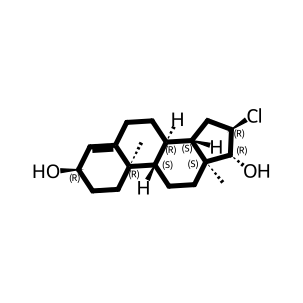 C[C@]12CC[C@H]3[C@@H](CCC4=C[C@H](O)CC[C@@]43C)[C@@H]1C[C@@H](Cl)[C@@H]2O